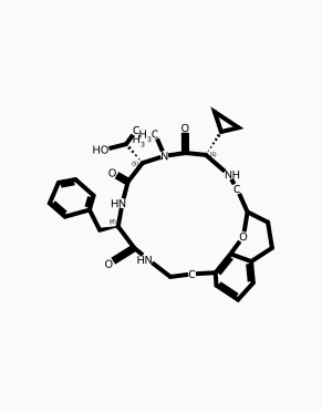 CC(O)[C@H]1C(=O)N[C@H](Cc2ccccc2)C(=O)NCCc2cccc3c2OC(CC3)CN[C@@H](C2CC2)C(=O)N1C